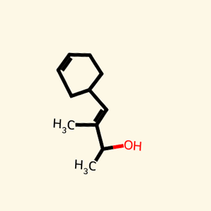 C/C(=C\C1CC=CCC1)C(C)O